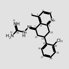 Cc1ccnc2c1C(=NNC(=N)N)CC(c1ccccc1Cl)C2